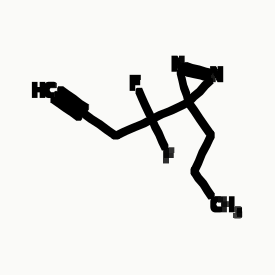 C#CCC(F)(F)C1(CCC)N=N1